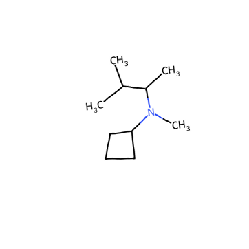 CC(C)C(C)N(C)C1CCC1